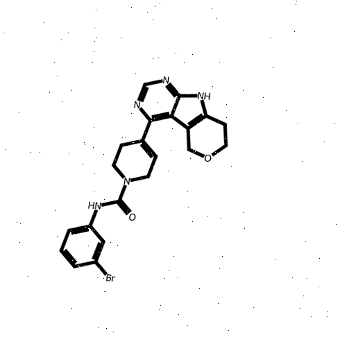 O=C(Nc1cccc(Br)c1)N1CC=C(c2ncnc3[nH]c4c(c23)COCC4)CC1